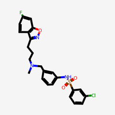 CN(CCCc1noc2cc(F)ccc12)Cc1cccc(NS(=O)(=O)c2cccc(Cl)c2)c1